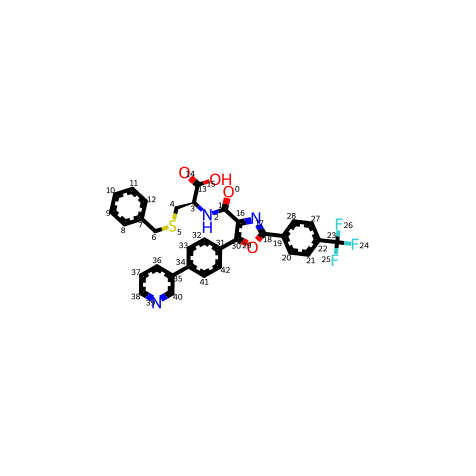 O=C(N[C@@H](CSCc1ccccc1)C(=O)O)c1nc(-c2ccc(C(F)(F)F)cc2)oc1-c1ccc(-c2cccnc2)cc1